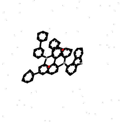 c1ccc(-c2cccc(N(c3cccc(-c4ccccc4)c3)c3ccccc3-c3ccccc3N(c3cccc(-c4ccccc4)c3)c3cccc4sc5ccccc5c34)c2)cc1